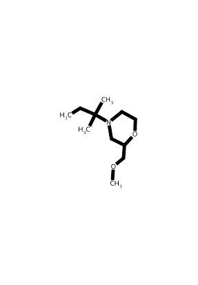 CCC(C)(C)N1CCOC(COC)C1